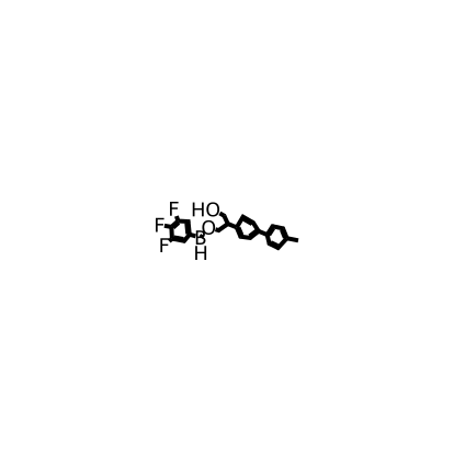 Cc1ccc(-c2ccc(C(CO)COBc3cc(F)c(F)c(F)c3)cc2)cc1